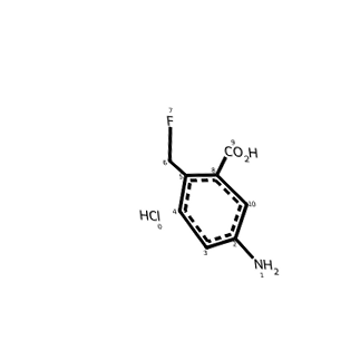 Cl.Nc1ccc(CF)c(C(=O)O)c1